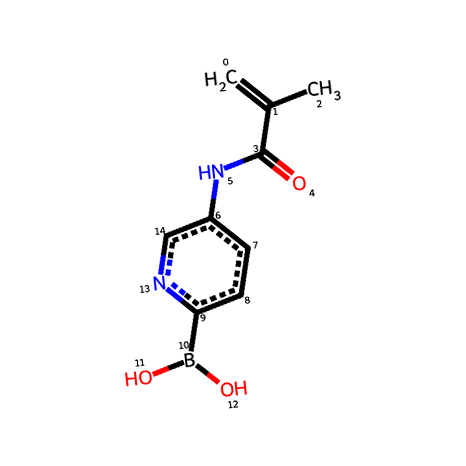 C=C(C)C(=O)Nc1ccc(B(O)O)nc1